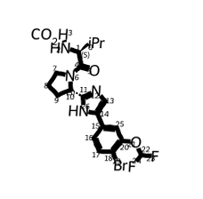 CC(C)[C@H](NC(=O)O)C(=O)N1CCC[C@H]1c1ncc(-c2ccc(Br)c(OC(F)F)c2)[nH]1